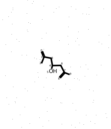 C=C(C)CC(O)CC(=C)C